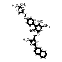 [C-]#[N+]c1c(N)nc(SCc2nc(-c3ccc4ccccc4c3)oc2C)c(C#N)c1-c1ccc(OC[C@@H]2COC(C)(C)O2)cc1